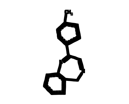 Cc1ccc(C2=Nc3ccccc3CN=C2)cc1